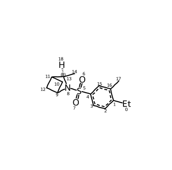 CCc1ccc(S(=O)(=O)N2C3CC(C3)[C@H]2C)cc1C